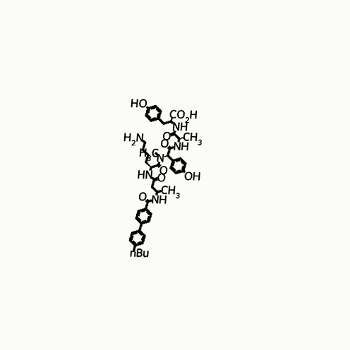 CCCCc1ccc(-c2ccc(C(=O)NC(C)CC(=O)N[C@@H](CCCCN)C(=O)N(C)[C@H](C(=O)N[C@@H](C)C(=O)N[C@@H](Cc3ccc(O)cc3)C(=O)O)c3ccc(O)cc3)cc2)cc1